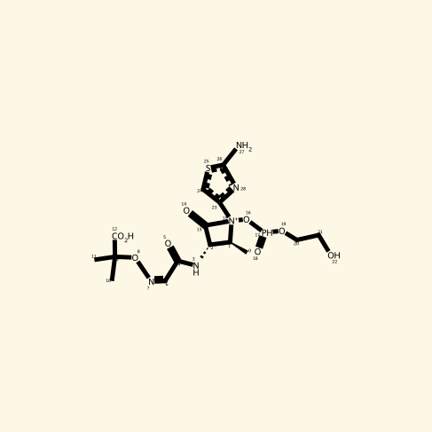 C[C@H]1[C@H](NC(=O)/C=N\OC(C)(C)C(=O)O)C(=O)[N+]1(O[PH](=O)OCCO)c1csc(N)n1